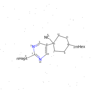 CCCCCCCc1ncc(C2(C#N)CCC(CCCCCC)CC2)cn1